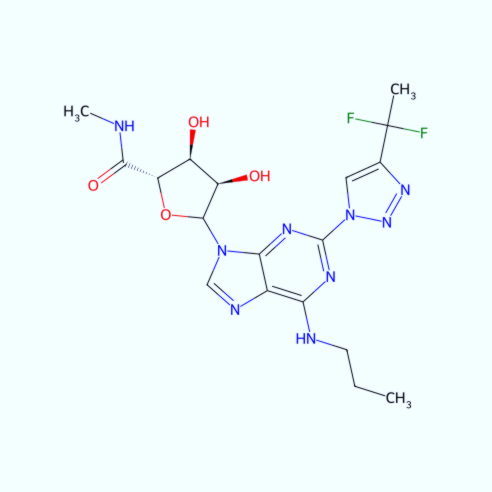 CCCNc1nc(-n2cc(C(C)(F)F)nn2)nc2c1ncn2C1O[C@H](C(=O)NC)[C@@H](O)[C@H]1O